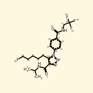 CC(C)NC(=O)c1nnn(-c2ccc(C(=O)NCC(F)(F)F)cc2)c1CCCCCF